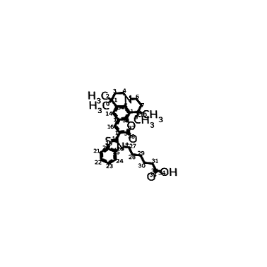 CC1(C)CCN2CCC(C)(C)c3c2c1cc1cc(-c2sc4ccccc4[n+]2CCCCCC(=O)O)c(=O)oc31